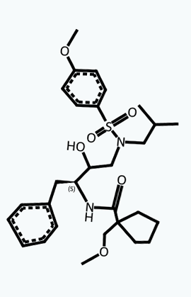 COCC1(C(=O)N[C@@H](Cc2ccccc2)C(O)CN(CC(C)C)S(=O)(=O)c2ccc(OC)cc2)CCCC1